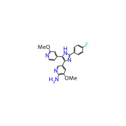 COc1cc(-c2[nH]c(-c3ccc(F)cc3)nc2-c2cnc(N)c(OC)c2)ccn1